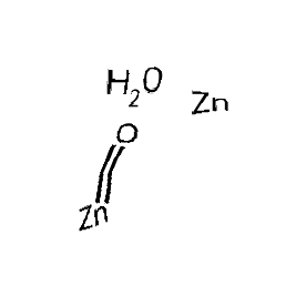 O.[O]=[Zn].[Zn]